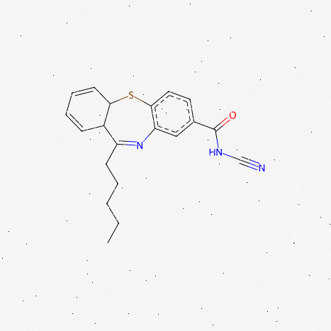 CCCCCC1=Nc2cc(C(=O)NC#N)ccc2SC2C=CC=CC12